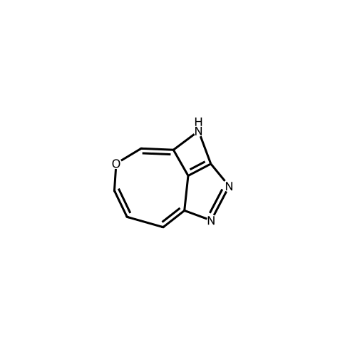 C1=COC=C2NC3=C2C(=C1)N=N3